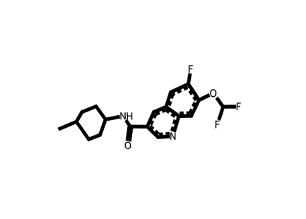 CC1CCC(NC(=O)c2cnc3cc(OC(F)F)c(F)cc3c2)CC1